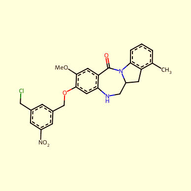 COc1cc2c(cc1OCc1cc(CCl)cc([N+](=O)[O-])c1)NCC1Cc3c(C)cccc3N1C2=O